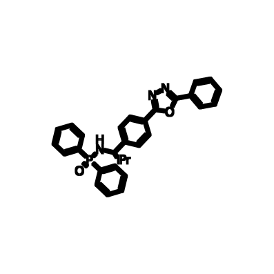 CC(C)C(NP(=O)(c1ccccc1)c1ccccc1)c1ccc(-c2nnc(-c3ccccc3)o2)cc1